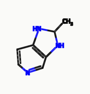 CC1Nc2ccncc2N1